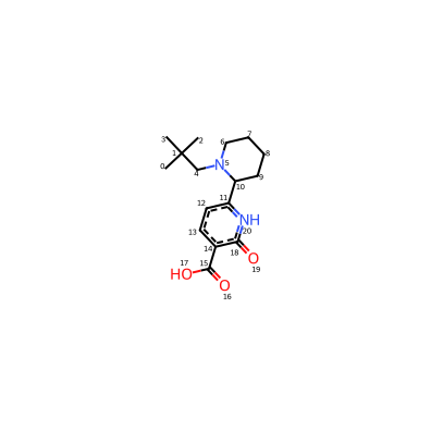 CC(C)(C)CN1CCCCC1c1ccc(C(=O)O)c(=O)[nH]1